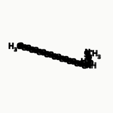 COCCOCCOCCOCCOCCOCCOCCOCCOCCOCCOCCOCCOCCOCCOCCOCCOCC(=O)OC1CNC(C(=O)NCc2ccc(-c3scnc3C)cc2)C1